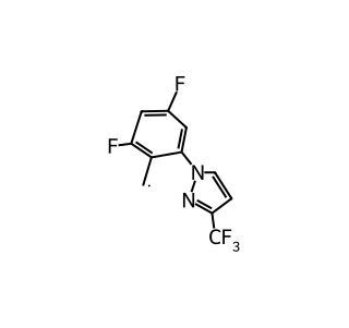 [CH2]c1c(F)cc(F)cc1-n1ccc(C(F)(F)F)n1